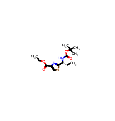 CCOC(=O)c1csc([C@@H](CC)NC(=O)OC(C)(C)C)n1